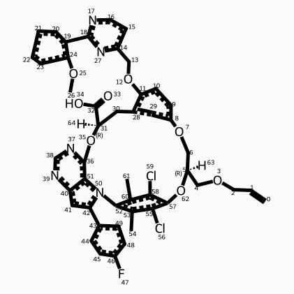 C=CCOC[C@@H]1COc2ccc(OCc3ccnc(-c4ccccc4OC)n3)c(c2)C[C@H](C(=O)O)Oc2ncnc3cc(-c4ccc(F)cc4)n(c23)-c2c(C)c(Cl)c(c(Cl)c2C)O1